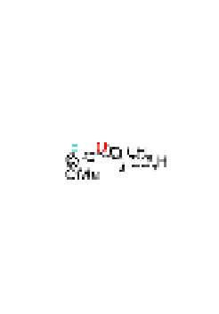 COc1ccc(F)c(-c2ccc(C3Cc4cc([C@H](C5CC5)[C@H](C)C(=O)O)ccc4CO3)cc2)c1